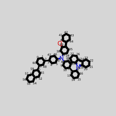 c1cc(-c2ccc(N(c3ccc(-c4ccccc4-n4c5ccccc5c5ccccc54)cc3)c3ccc4c(c3)oc3ccccc34)cc2)cc(-c2ccc3ccccc3c2)c1